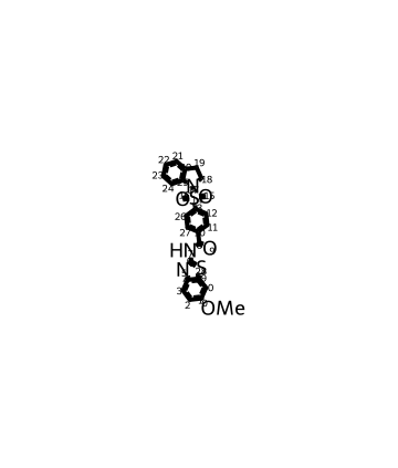 COc1ccc2nc(NC(=O)c3ccc(S(=O)(=O)N4CCc5ccccc54)cc3)sc2c1